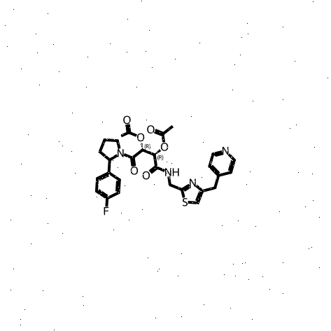 CC(=O)O[C@@H](C(=O)NCc1nc(Cc2ccncc2)cs1)[C@@H](OC(C)=O)C(=O)N1CCCC1c1ccc(F)cc1